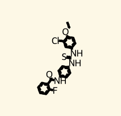 CCOc1ccc(NC(=S)Nc2ccc(NC(=O)c3ccccc3F)cc2)cc1Cl